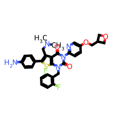 CN(C)Cc1c(-c2ccc(N)cc2)sc2c1c(=O)n(-c1ccc(OCC3COC3)cn1)c(=O)n2Cc1c(F)cccc1F